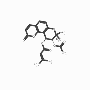 CC(=O)O[C@@H]1[C@H](OC(=O)C=C(C)C)c2c(ccc3ccc(=O)oc23)OC1(C)C